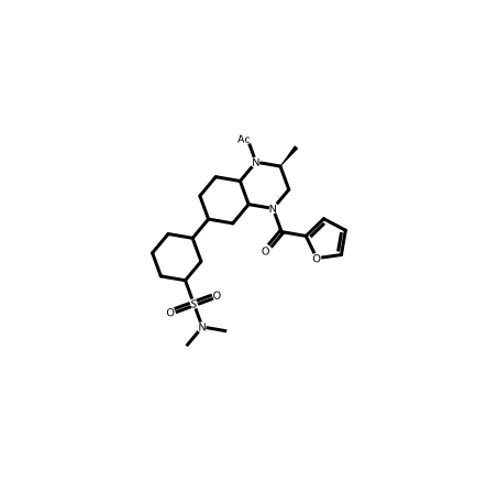 CC(=O)N1C2CCC(C3CCCC(S(=O)(=O)N(C)C)C3)CC2N(C(=O)c2ccco2)C[C@@H]1C